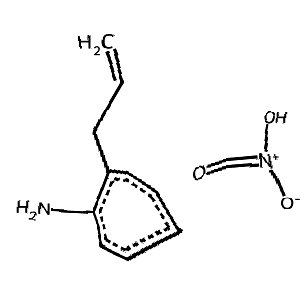 C=CCc1ccccc1N.O=[N+]([O-])O